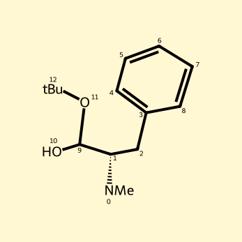 CN[C@@H](Cc1ccccc1)C(O)OC(C)(C)C